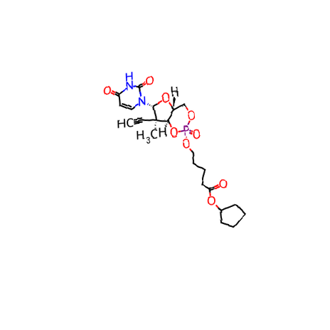 C#C[C@]1(C)[C@@H]2O[P@@](=O)(OCCCCC(=O)OC3CCCC3)OC[C@H]2O[C@H]1n1ccc(=O)[nH]c1=O